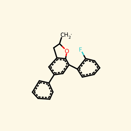 [CH2]C1Cc2cc(-c3ccccc3)cc(-c3ccccc3F)c2O1